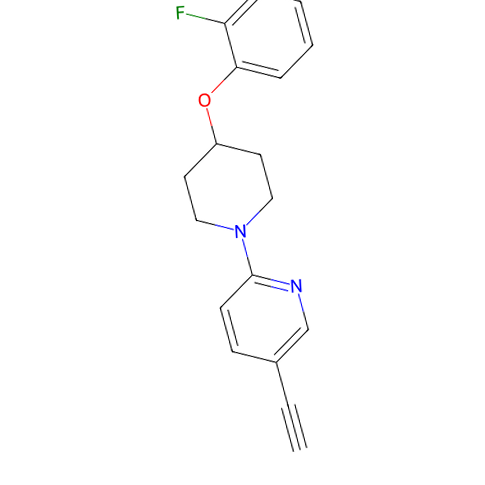 C#Cc1ccc(N2CCC(Oc3ccccc3F)CC2)nc1